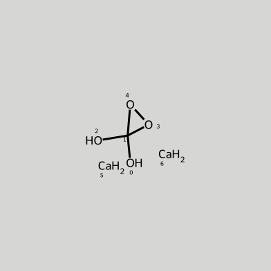 OC1(O)OO1.[CaH2].[CaH2]